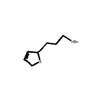 CCCCCCCC1C=CCS1